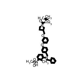 Cc1c(NS(C)(=O)=O)cccc1N(Cc1ccccc1)Cc1ccc(Oc2cccc(OCC3CCN(C(=O)OC(C)(C)C)C3)c2)cc1